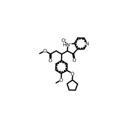 COC(=O)CC(c1ccc(OC)c(OC2CCCC2)c1)C1C(=O)c2cnccc2[NH+]1[O-]